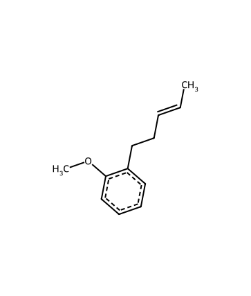 C/C=C/CCc1ccccc1OC